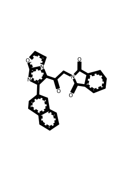 O=C(CN1C(=O)c2ccccc2C1=O)c1c(-c2ccc3ccccc3c2)nc2occn12